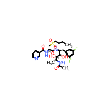 CCCCS(=O)(=O)C[C@@H](NC(=O)c1cccnc1)C(=O)N[C@@H](Cc1cc(F)cc(F)c1)[C@@H](O)[C@H](O)[C@@H](C)NC(C)=O